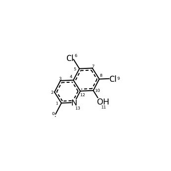 [CH2]c1ccc2c(Cl)cc(Cl)c(O)c2n1